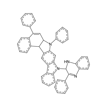 C1=C(c2ccccc2)c2ccccc2C2c3cc4c5ccccc5n(C5Nc6ccccc6N=C5c5ccccc5)c4cc3N(c3ccccc3)C12